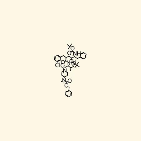 CC(C)C(NC(=O)C(Cc1cccc(Cl)c1)CC(O[Si](C)(C)C(C)(C)C)C(Cc1ccccc1)NC(=O)OC(C)(C)C)C(=O)N1CCC(N(C)C(=O)OCc2ccccc2)CC1